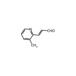 Cc1cccnc1C=CC=O